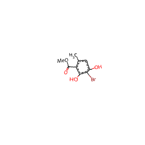 COC(=O)c1c(C)cc(O)c(Br)c1O